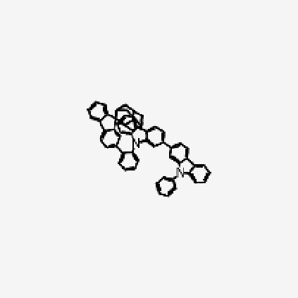 c1ccc(-n2c3ccccc3c3ccc(-c4ccc5c6ccccc6n(-c6ccccc6-c6ccc7c(c6)C6(c8ccccc8-7)C7CC8CC(C7)CC6C8)c5c4)cc32)cc1